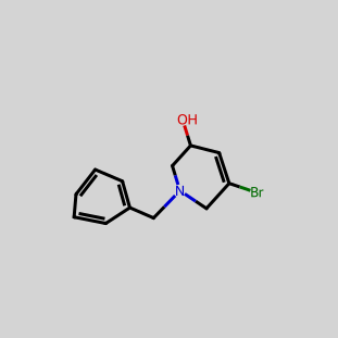 OC1C=C(Br)CN(Cc2ccccc2)C1